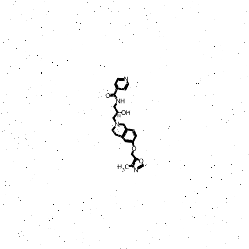 Cc1ncoc1COc1ccc2c(c1)CCN(C[C@@H](O)CNC(=O)c1ccncc1)C2